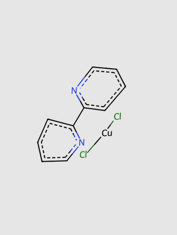 [Cl][Cu][Cl].c1ccc(-c2ccccn2)nc1